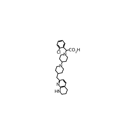 O=C(O)C(c1ccccc1Cl)N1CCC(N2CCC(Cc3ccc4c(n3)NCCC4)CC2)CC1